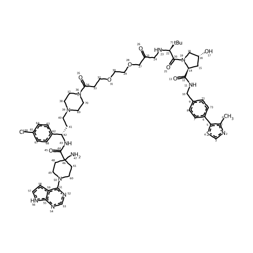 Cc1ncsc1-c1ccc(CNC(=O)[C@@H]2C[C@@H](O)CN2C(=O)[C@@H](NCC(=O)COCCOCCC(=O)N2CCN(CC[C@H](NC(=O)C3(N)CCN(c4ncnc5[nH]ccc45)CC3)c3ccc(Cl)cc3)CC2)C(C)(C)C)cc1